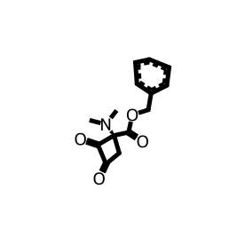 CN(C)[C@@]1(C(=O)OCc2ccccc2)CC(=O)C1=O